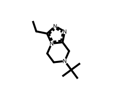 CCc1nnc2n1CCN(C(C)(C)C)C2